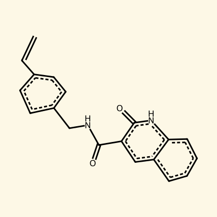 C=Cc1ccc(CNC(=O)c2cc3ccccc3[nH]c2=O)cc1